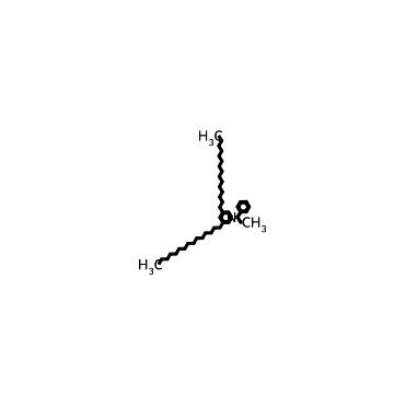 CCCCCCCCCCCCCCCc1cc(CCCCCCCCCCCCCCC)c[n+](C(CC)c2ccccc2)c1